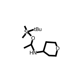 CC(NC1CCOCC1)O[Si](C)(C)C(C)(C)C